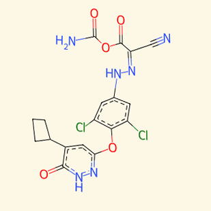 N#CC(=NNc1cc(Cl)c(Oc2cc(C3CCC3)c(=O)[nH]n2)c(Cl)c1)C(=O)OC(N)=O